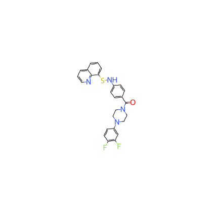 O=C(c1ccc(NSc2cccc3cccnc23)cc1)N1CCN(c2ccc(F)c(F)c2)CC1